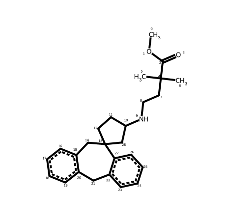 COC(=O)C(C)(C)CCNC1CCC2(Cc3ccccc3Cc3ccccc32)C1